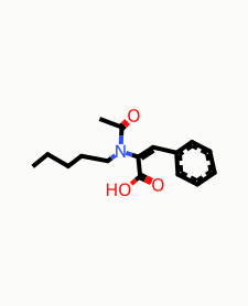 CCCCCN(C(C)=O)C(=Cc1ccccc1)C(=O)O